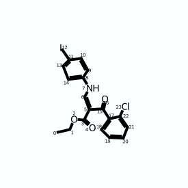 CCOC(=O)/C(=C/Nc1ccc(I)cc1)C(=O)c1ccccc1Cl